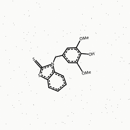 COc1cc(Cn2c(=S)sc3ccccc32)cc(OC)c1O